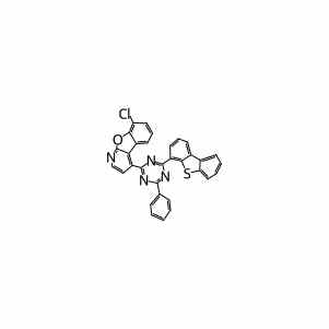 Clc1cccc2c1oc1nccc(-c3nc(-c4ccccc4)nc(-c4cccc5c4sc4ccccc45)n3)c12